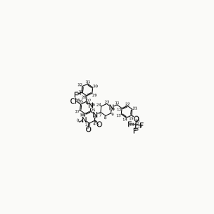 Cn1c(=O)c(=O)n(C2CCN(Cc3ccc(OC(F)(F)F)cc3)CC2)c2nc(-c3ccccc3F)c(Cl)cc21